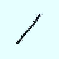 CC(C)CCOCCOCCOCCOCCOCCOCCOCCOCCOCCCCO/N=C/c1ccc2ccccc2c1